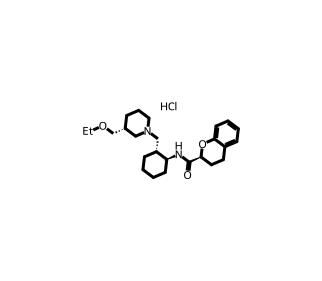 CCOC[C@@H]1CCCN(C[C@H]2CCCC[C@@H]2NC(=O)[C@@H]2CCc3ccccc3O2)C1.Cl